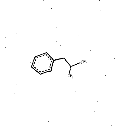 FC(F)(F)C(Cc1ccccc1)C(F)(F)F